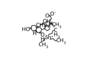 CCC[CH2][Sn+]([CH2]CCC)[CH2]CCC.C[C@H](CCC(=O)[O-])[C@H]1CCC2C3C(C[C@H](O)[C@@]21C)[C@@]1(C)CC[C@@H](O)C[C@H]1C[C@H]3O